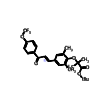 Cc1cc(/C=C/C(=O)c2ccc(OC(F)(F)F)cc2)cc(C)c1OC(C)(C)C(=O)OC(C)(C)C